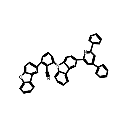 N#Cc1c(-c2ccc3oc4ccccc4c3c2)cccc1-n1c2ccccc2c2cc(-c3cc(-c4ccccc4)cc(-c4ccccc4)n3)ccc21